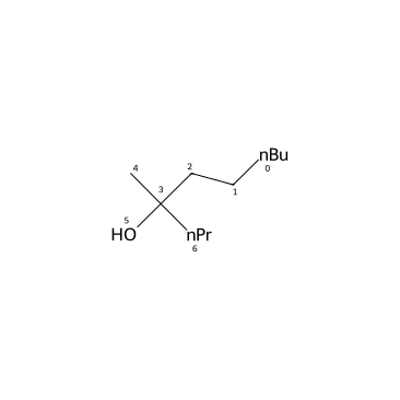 CCCCCCC(C)(O)CCC